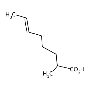 C/C=C/CCCC(C)C(=O)O